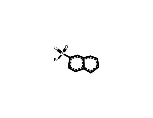 O=S(=O)(Br)c1ccc2ccccc2c1